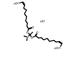 CCCCCCCC/C=C\CCCCCCCC(=O)OC(C)(OC(=O)CCCCCCC/C=C\CCCCCCCC)N(C)C.Cl